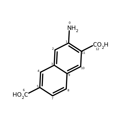 Nc1cc2cc(C(=O)O)ccc2cc1C(=O)O